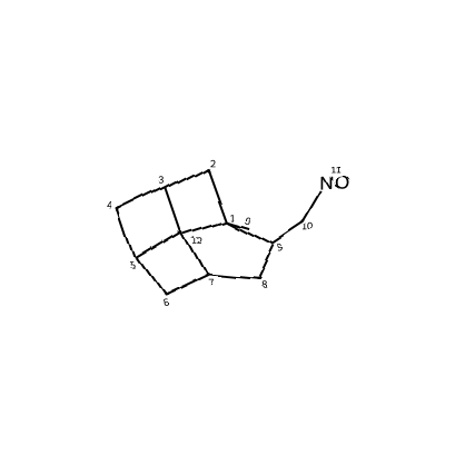 CC12CC3CC4CC(CC1CN=O)C432